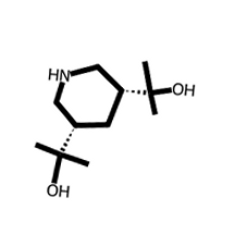 CC(C)(O)[C@@H]1CNC[C@H](C(C)(C)O)C1